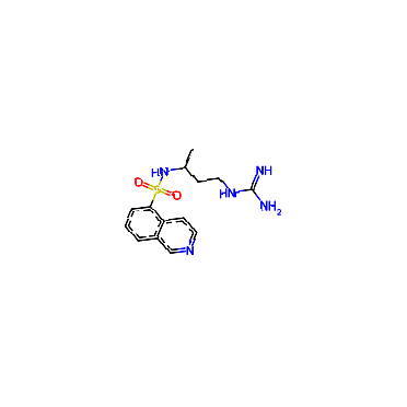 CC(CCNC(=N)N)NS(=O)(=O)c1cccc2cnccc12